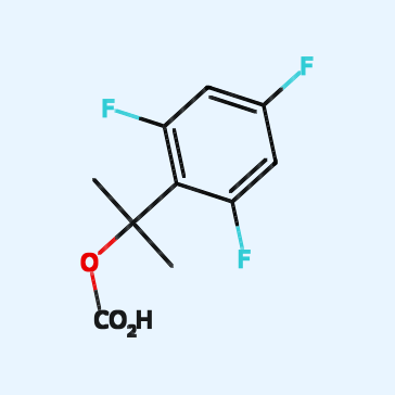 CC(C)(OC(=O)O)c1c(F)cc(F)cc1F